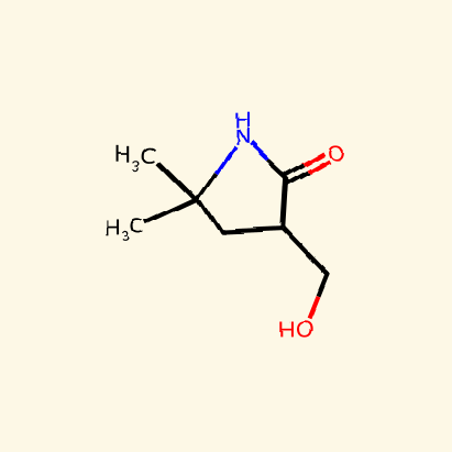 CC1(C)CC(CO)C(=O)N1